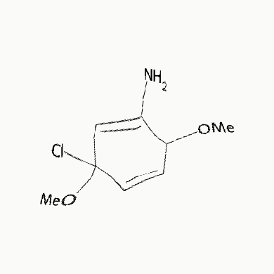 COC1C=CC(Cl)(OC)C=C1N